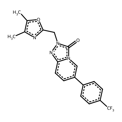 Cc1nc(Cn2nc3ccc(-c4ccc(C(F)(F)F)cc4)cn3c2=O)oc1C